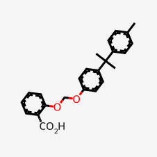 Cc1ccc(C(C)(C)c2ccc(OCOc3ccccc3C(=O)O)cc2)cc1